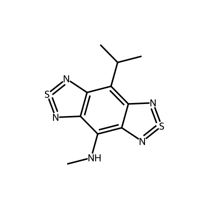 CNc1c2c(c(C(C)C)c3c1N=S=N3)N=S=N2